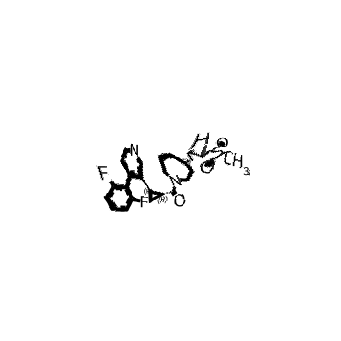 CS(=O)(=O)N[C@H]1CCCN(C(=O)[C@@H]2C[C@H]2c2cnccc2-c2c(F)cccc2F)CC1